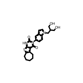 O=c1[nH]c2sc3c(c2c(=O)n1-c1ccc2c(ccn2CC(CO)CO)c1)CCCCC3